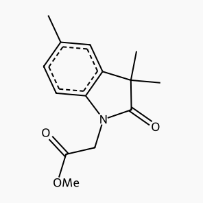 COC(=O)CN1C(=O)C(C)(C)c2cc(C)ccc21